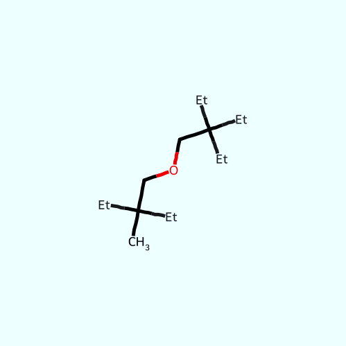 CCC(C)(CC)COCC(CC)(CC)CC